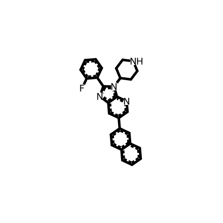 Fc1ccccc1-c1nc2cc(-c3ccc4ccccc4c3)cnc2n1C1CCNCC1